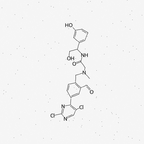 CN(CC(=O)NC(CO)c1cccc(O)c1)Cc1ccc(-c2nc(Cl)ncc2Cl)cc1C=O